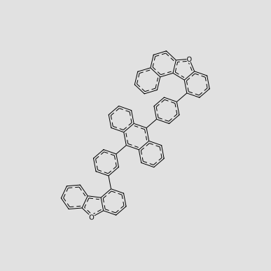 c1cc(-c2c3ccccc3c(-c3ccc(-c4cccc5oc6ccc7ccccc7c6c45)cc3)c3ccccc23)cc(-c2cccc3oc4ccccc4c23)c1